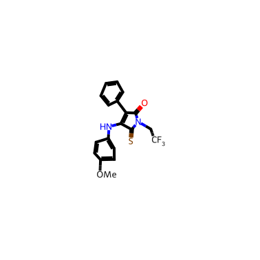 COc1ccc(NC2=C(c3ccccc3)C(=O)N(CC(F)(F)F)C2=S)cc1